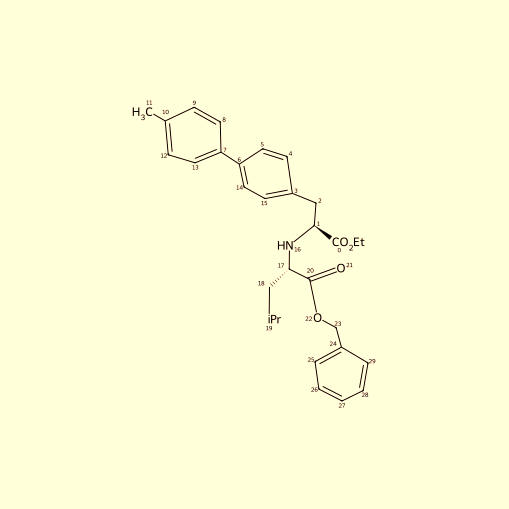 CCOC(=O)[C@H](Cc1ccc(-c2ccc(C)cc2)cc1)N[C@@H](CC(C)C)C(=O)OCc1ccccc1